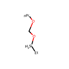 CCCOCO[SiH2]CC